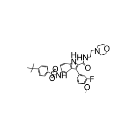 COc1ccc(-c2c(C(=O)NCCN3CCOCC3)[nH]c3ccc(NS(=O)(=O)c4ccc(C(C)(C)C)cc4)cc23)cc1F